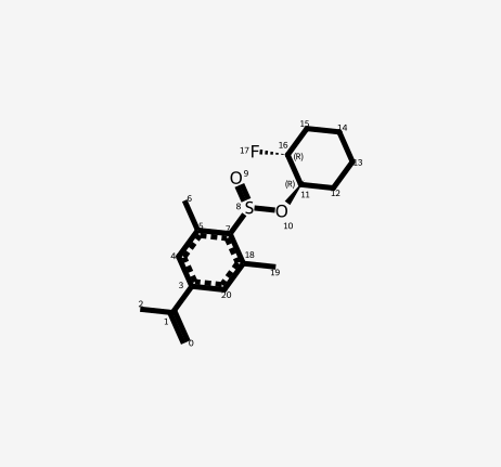 C=C(C)c1cc(C)c(S(=O)O[C@@H]2CCCC[C@H]2F)c(C)c1